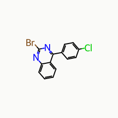 Clc1ccc(-c2nc(Br)nc3ccccc23)cc1